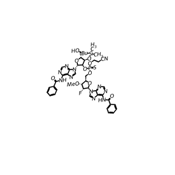 CO[C@H]1[C@@H](F)[C@H](n2cnc3c(NC(=O)c4ccccc4)ncnc32)O[C@@H]1COP(=S)(OCCC#N)O[C@@H]1[C@H](O[Si](C)(C)C(C)(C)C)[C@@H](CO)O[C@H]1n1cnc2c(NC(=O)c3ccccc3)ncnc21